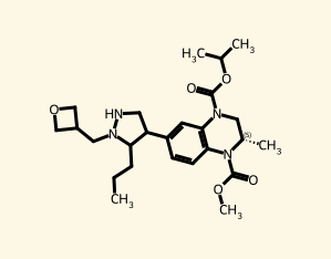 CCCC1C(c2ccc3c(c2)N(C(=O)OC(C)C)C[C@H](C)N3C(=O)OC)CNN1CC1COC1